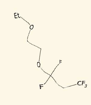 CCOCCOC(F)(F)CC(F)(F)F